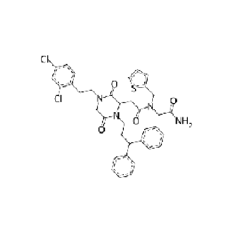 NC(=O)CN(Cc1cccs1)C(=O)CC1C(=O)N(CCc2ccc(Cl)cc2Cl)CC(=O)N1CCC(c1ccccc1)c1ccccc1